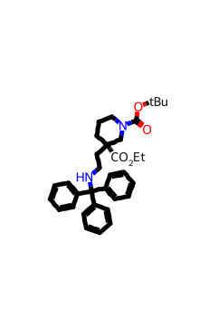 CCOC(=O)C1(CCNC(c2ccccc2)(c2ccccc2)c2ccccc2)CCCN(C(=O)OC(C)(C)C)C1